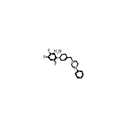 N[C@@H]1CC(CN2CCN(c3ccccc3)CC2)=CC[C@H]1c1cc(F)c(F)cc1F